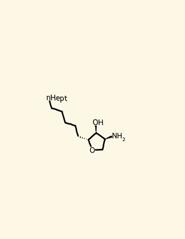 CCCCCCCCCCCC[C@H]1OC[C@H](N)[C@@H]1O